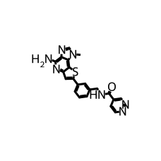 Cn1cnc2c(N)nc3cc(-c4cccc(CNC(=O)c5ccnnc5)c4)sc3c21